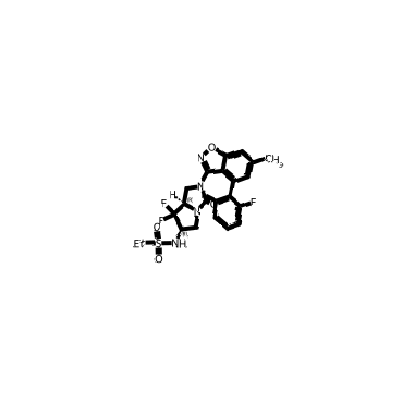 CCS(=O)(=O)N[C@@H]1CN2C(=O)N(c3noc4cc(C)cc(-c5c(F)cccc5F)c34)C[C@@H]2C1(F)F